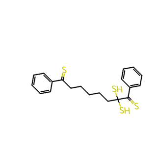 S=C(CCCCCC(S)(S)C(=S)c1ccccc1)c1ccccc1